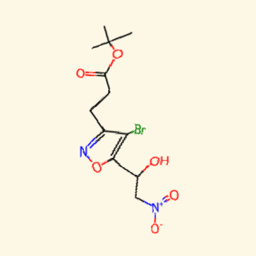 CC(C)(C)OC(=O)CCc1noc(C(O)C[N+](=O)[O-])c1Br